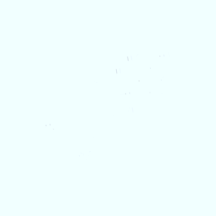 CC(C)(O)C(C)(C)O.O=C(O)c1cccc(Cl)c1.O=C(O)c1cccc(Cl)c1